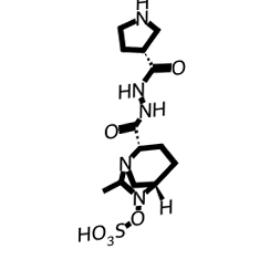 CC1N2C[C@H](CC[C@H]2C(=O)NNC(=O)[C@@H]2CCNC2)N1OS(=O)(=O)O